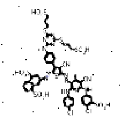 Cc1c(C#N)c(Nc2ccc(Cl)c(S(=O)(=O)O)c2)nc(Nc2ccc(Cl)cc2)c1N=Nc1sc(/N=N/c2cc(S(=O)(=O)O)c3cccc(S(=O)(=O)O)c3c2)c(-c2ccc(Nc3nc(SCCCS(=O)(=O)O)nc(SCCCS(=O)(=O)O)n3)cc2)c1C#N